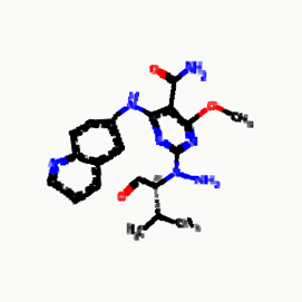 COc1nc(N(N)[C@@H](C=O)C(C)C)nc(Nc2ccc3ncccc3c2)c1C(N)=O